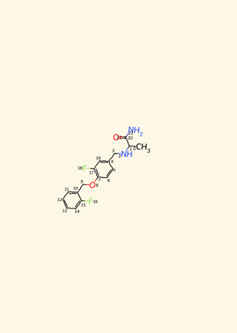 CC(NCc1ccc(OCc2ccccc2F)c(F)c1)C(N)=O